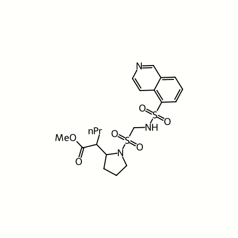 CCCC(C(=O)OC)C1CCCN1S(=O)(=O)CNS(=O)(=O)c1cccc2cnccc12